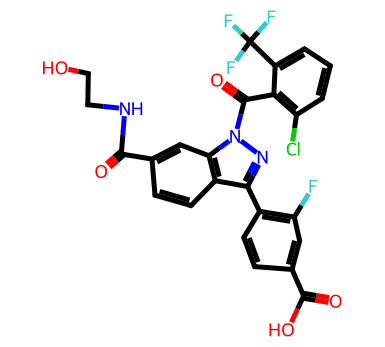 O=C(O)c1ccc(-c2nn(C(=O)c3c(Cl)cccc3C(F)(F)F)c3cc(C(=O)NCCO)ccc23)c(F)c1